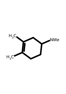 CNC1CCC(C)=C(C)C1